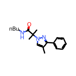 CCCCNC(=O)C(C)(C)n1cc(C)c(-c2ccccc2)n1